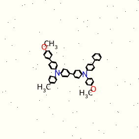 COc1ccc(-c2ccc(N(c3ccc(C)cc3)c3ccc(-c4ccc(N(c5ccc(OC)cc5)c5ccc(-c6ccccc6)cc5)cc4)cc3)cc2)cc1